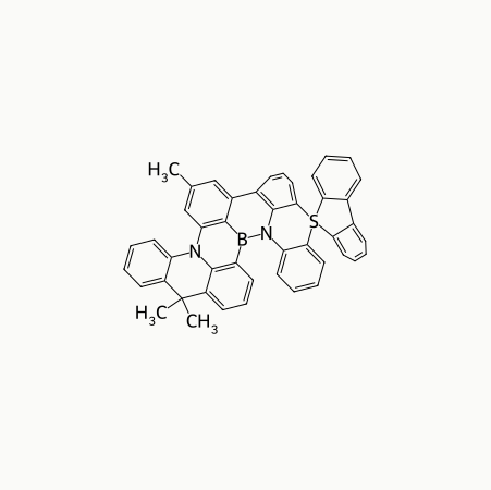 Cc1cc2c3c(c1)N1c4ccccc4C(C)(C)c4cccc(c41)B3N1c3ccccc3S3(c4ccccc4-c4ccccc43)c3cccc-2c31